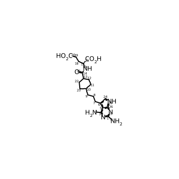 Nc1nc(N)c2c(CCCC3CCC(C(=O)N[C@@H](CCC(=O)O)C(=O)O)CC3)c[nH]c2n1